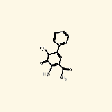 NC(=O)C1=C(N)C(=S)C(C(F)(F)F)C(c2ccccc2)=C1